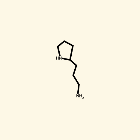 NCCCC1CCCN1